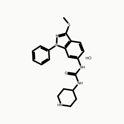 CSc1nn(-c2ccccc2)c2cc(NC(=O)NC3CCNCC3)ccc12.Cl